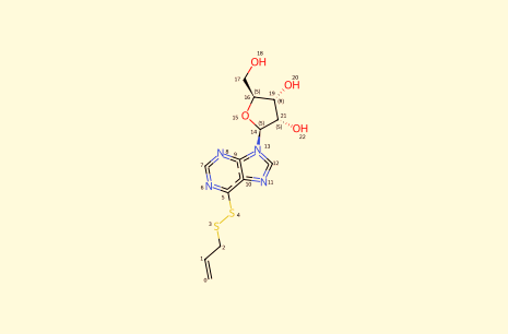 C=CCSSc1ncnc2c1ncn2[C@H]1O[C@@H](CO)[C@H](O)[C@@H]1O